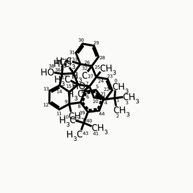 CC(C)(C)c1cc(O)c(C2(C)C=CC=C3C2C2(C)C4(C)C=CC=CC4(C)C4(C)C=CC=CC4(C)C2(C)C3(C)O)c(C(C)(C)C)c1